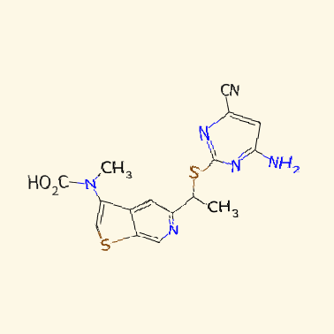 CC(Sc1nc(N)cc(C#N)n1)c1cc2c(N(C)C(=O)O)csc2cn1